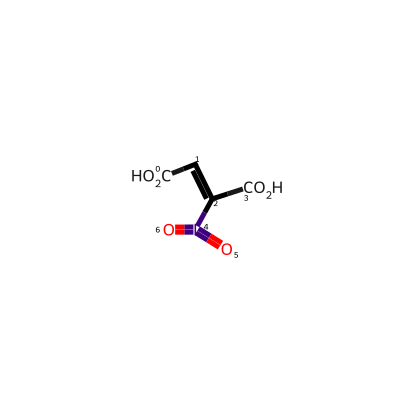 O=C(O)C=C(C(=O)O)I(=O)=O